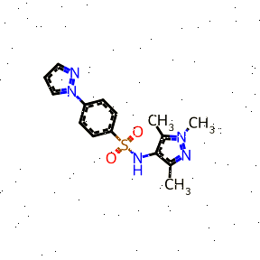 Cc1nn(C)c(C)c1NS(=O)(=O)c1ccc(-n2cccn2)cc1